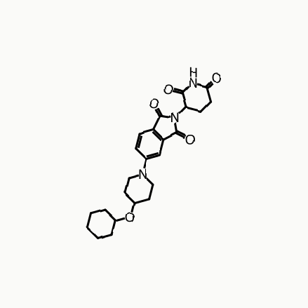 O=C1CCC(N2C(=O)c3ccc(N4CCC(OC5CCCCC5)CC4)cc3C2=O)C(=O)N1